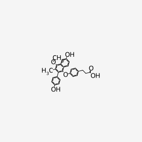 COc1c(C)c(-c2ccc(O)cc2)c(Oc2ccc(CCC(=O)O)cc2)c2ccc(O)cc12